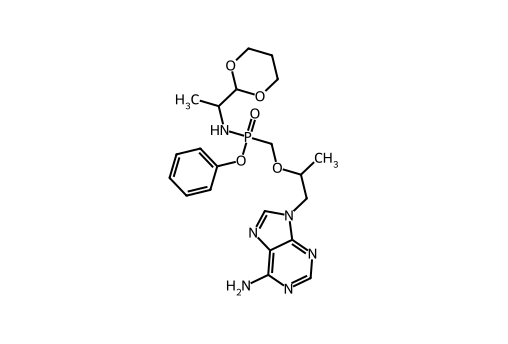 CC(Cn1cnc2c(N)ncnc21)OCP(=O)(NC(C)C1OCCCO1)Oc1ccccc1